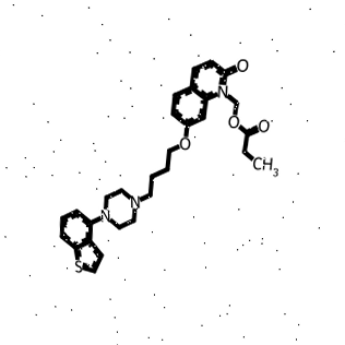 CCC(=O)OCn1c(=O)ccc2ccc(OCCCCN3CCN(c4cccc5sccc45)CC3)cc21